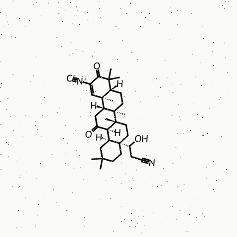 [C-]#[N+]C1=C[C@]2(C)[C@H]3CC(=O)[C@@H]4[C@@H]5CC(C)(C)CC[C@]5(C(O)CC#N)CC[C@@]4(C)[C@]3(C)CC[C@H]2C(C)(C)C1=O